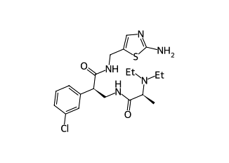 CCN(CC)[C@@H](C)C(=O)NC[C@H](C(=O)NCc1cnc(N)s1)c1cccc(Cl)c1